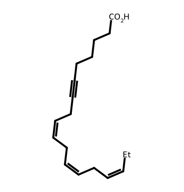 CC/C=C\C/C=C\C/C=C\CC#CCCCCC(=O)O